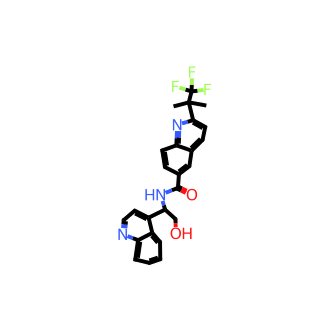 CC(C)(c1ccc2cc(C(=O)NC(CO)c3ccnc4ccccc34)ccc2n1)C(F)(F)F